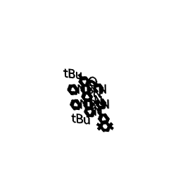 CC(C)(C)c1cc2c3c(c1)N(c1ccccc1)c1cc4c(cc1B3c1ncncc1O2)B1c2ncncc2N(c2ccc3c(c2)C(C)(C)CCC3(C)C)c2cc(C(C)(C)C)cc(c21)N4c1ccccc1